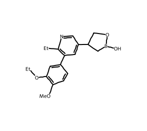 CCOc1cc(-c2cc(C3COB(O)C3)cnc2CC)ccc1OC